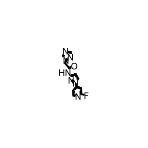 O=C(Cn1cncn1)Nc1ccn(-c2ccnc(F)c2)n1